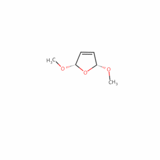 CO[C@H]1C=C[C@@H](OC)O1